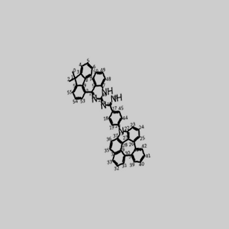 CC1(C)c2ccccc2-c2c(-c3n/c(=N/C(=N)c4ccc(-n5c6cccc7c6c6c8c(cccc8ccc65)-c5ccccc5-7)cc4)[nH]c4ccccc34)cccc21